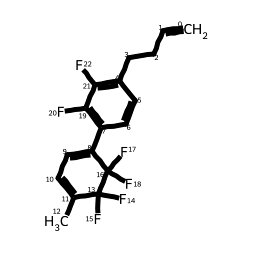 C=CCCc1ccc(C2=CC=C(C)C(F)(F)C2(F)F)c(F)c1F